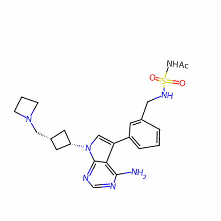 CC(=O)NS(=O)(=O)NCc1cccc(-c2cn([C@H]3C[C@@H](CN4CCC4)C3)c3ncnc(N)c23)c1